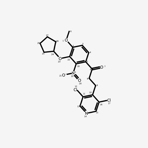 COc1ccc(C(=O)CCc2c(Cl)cncc2Cl)c([N+](=O)[O-])c1OC1CCCC1